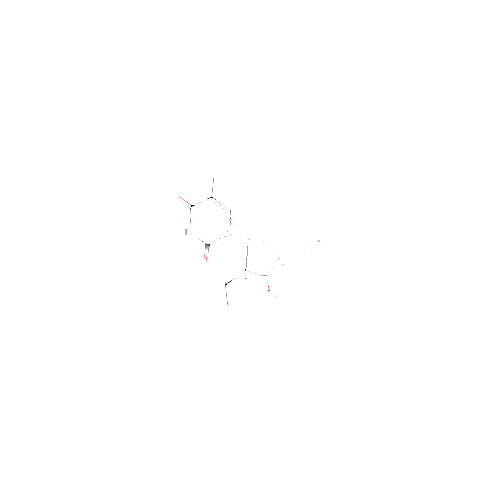 CC[C@@H]1[C@H](O)[C@@H](CO)O[C@H]1n1cc(C)c(=O)[nH]c1=O